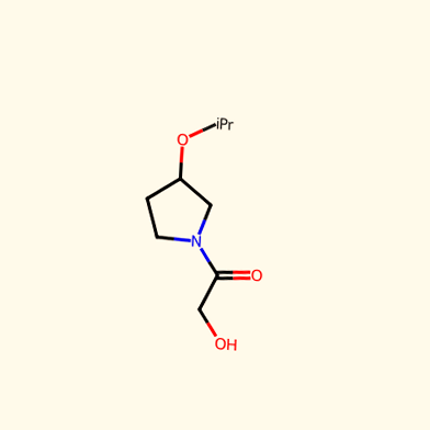 CC(C)OC1CCN(C(=O)CO)C1